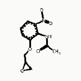 CC(=O)Nc1c(OCC2CO2)cccc1[N+](=O)[O-]